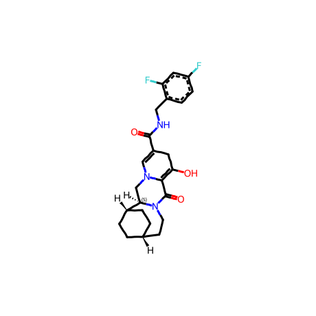 O=C(NCc1ccc(F)cc1F)C1=CN2C[C@@H]3[C@H]4CC[C@@H](CCN3C(=O)C2=C(O)C1)CC4